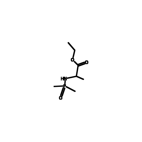 CCOC(=O)C(C)NP(C)(C)=O